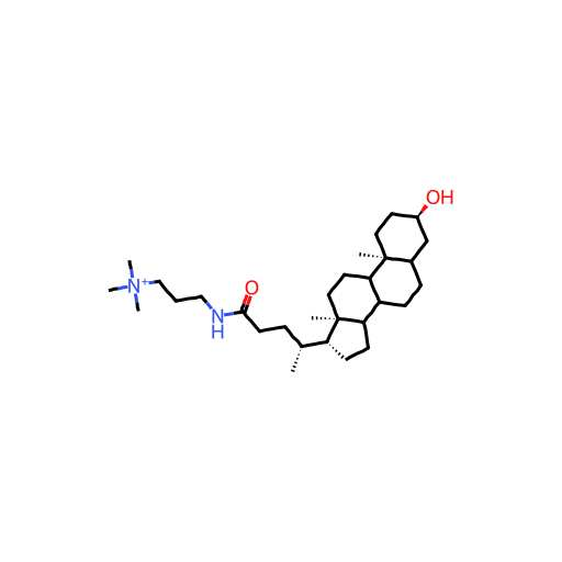 C[C@H](CCC(=O)NCCC[N+](C)(C)C)[C@H]1CCC2C3CCC4C[C@H](O)CC[C@]4(C)C3CC[C@@]21C